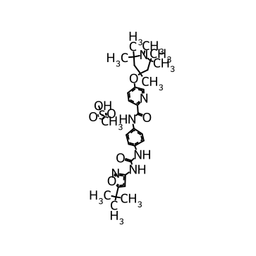 CN1C(C)(C)CC(C)(Oc2ccc(C(=O)Nc3ccc(NC(=O)Nc4cc(C(C)(C)C)on4)cc3)nc2)CC1(C)C.CS(=O)(=O)O